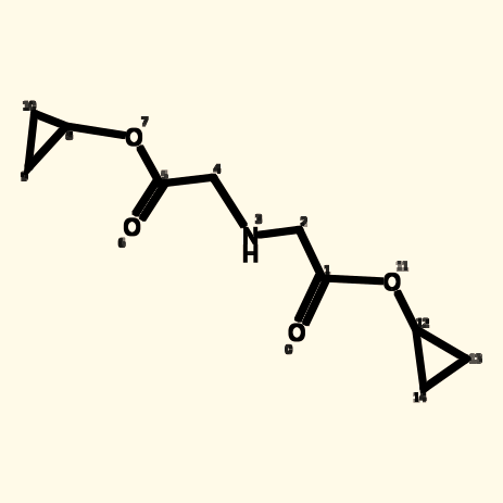 O=C(CNCC(=O)OC1CC1)OC1CC1